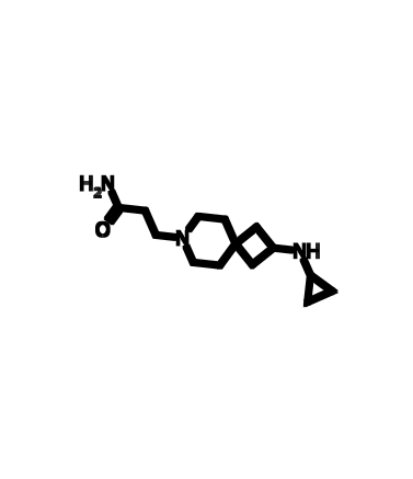 NC(=O)CCN1CCC2(CC1)CC(NC1CC1)C2